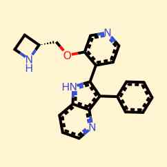 c1ccc(-c2c(-c3ccncc3OC[C@H]3CCN3)[nH]c3cccnc23)cc1